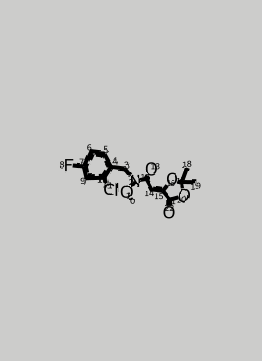 CON(Cc1ccc(F)cc1Cl)C(=O)C=C1OC(C)(C)OC1=O